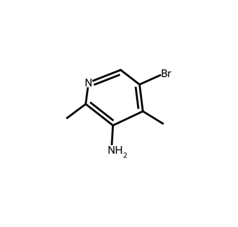 Cc1ncc(Br)c(C)c1N